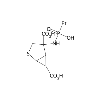 CCP(=O)(O)NC1(C(=O)O)CSC2C(C(=O)O)C21